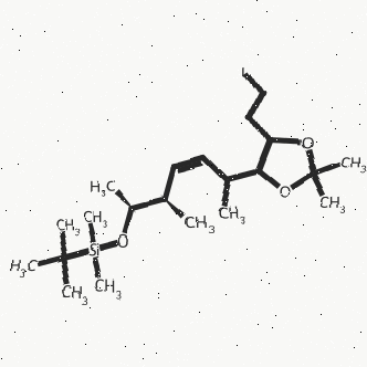 CC(/C=C\[C@@H](C)[C@H](C)O[Si](C)(C)C(C)(C)C)C1OC(C)(C)OC1CCI